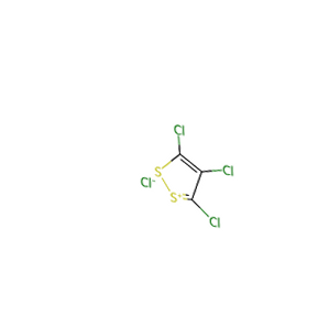 Clc1s[s+]c(Cl)c1Cl.[Cl-]